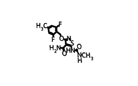 CNC(=O)Nc1snc(OCc2c(F)cc(C)cc2F)c1C(N)=O